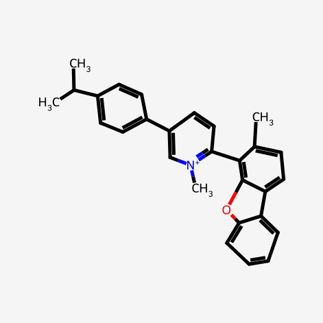 Cc1ccc2c(oc3ccccc32)c1-c1ccc(-c2ccc(C(C)C)cc2)c[n+]1C